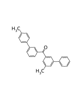 Cc1ccc(-c2cccc(C(=O)c3cc(C)cc(-c4ccccc4)c3)c2)cc1